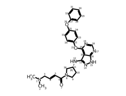 CN(C)CC=CC(=O)N1CC[C@@H](Nc2n[nH]c3ncnc(Oc4ccc(Oc5ccccc5)cc4)c23)C1